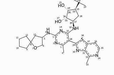 Cc1nc(NC2COC3(CCCC3)C2)nc(N[C@@H]2C[C@H](C(C)(C)O)[C@@H](O)[C@H]2O)c1-c1nc2c(C)nccc2s1